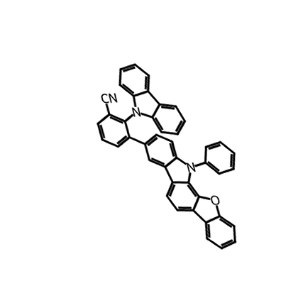 N#Cc1cccc(-c2ccc3c(c2)c2ccc4c5ccccc5oc4c2n3-c2ccccc2)c1-n1c2ccccc2c2ccccc21